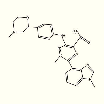 Cc1nc(Nc2ccc(C3CN(C)CCO3)cc2)c(C(N)=O)nc1-c1cccc2c1ncn2C